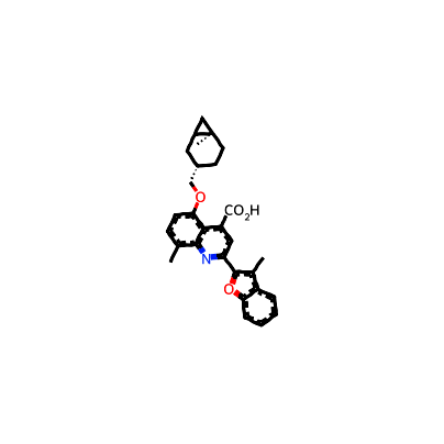 Cc1c(-c2cc(C(=O)O)c3c(OC[C@H]4CC[C@]5(C)CC5C4)ccc(C)c3n2)oc2ccccc12